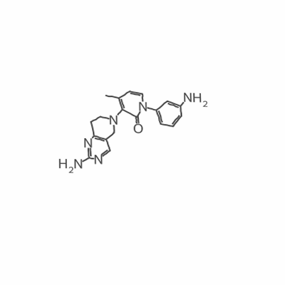 Cc1ccn(-c2cccc(N)c2)c(=O)c1N1CCc2nc(N)ncc2C1